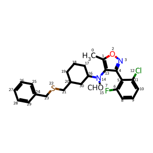 Cc1onc(-c2c(F)cccc2Cl)c1N(C=O)C1CCCC(CSCc2ccccc2)C1